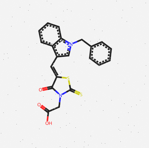 O=C(O)CN1C(=O)/C(=C/c2cn(Cc3ccccc3)c3ccccc23)SC1=S